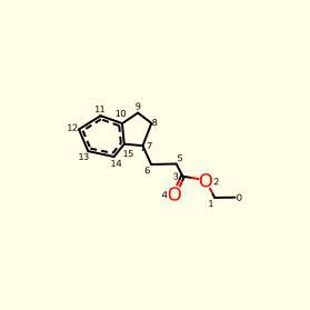 CCOC(=O)CC[C]1CCc2ccccc21